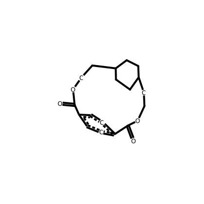 O=C1OCCC2CCC(CCOC(=O)c3ccc1cc3)CC2